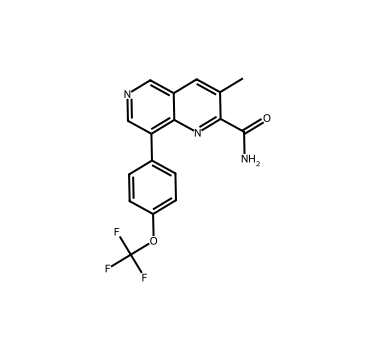 Cc1cc2cncc(-c3ccc(OC(F)(F)F)cc3)c2nc1C(N)=O